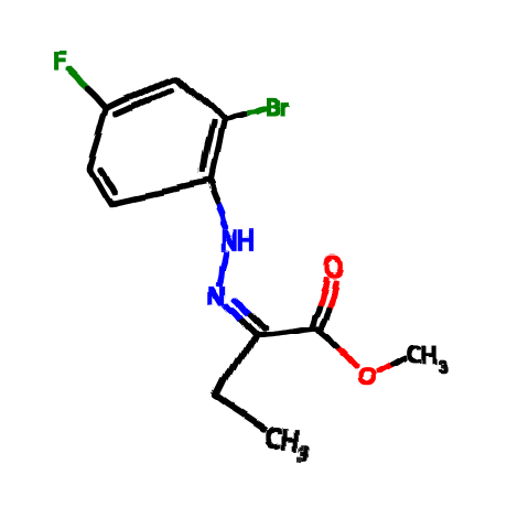 CC/C(=N/Nc1ccc(F)cc1Br)C(=O)OC